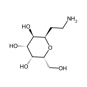 NCC[C@H]1O[C@H](CO)[C@H](O)[C@H](O)[C@H]1O